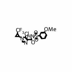 COc1cccc(S(=O)(=O)NC(=O)c2ncn(C3CC3C(F)(F)F)c2Cl)c1